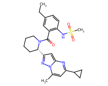 CCc1ccc(NS(C)(=O)=O)c(C(=O)N2CCCC[C@H]2c2cc3nc(C4CC4)cc(C)n3n2)c1